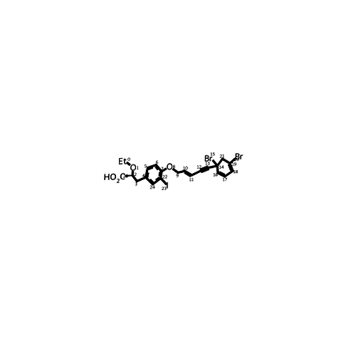 CCO[C@@H](Cc1ccc(OC/C=C/C#CC2(Br)C=CC=C(Br)C2)c(I)c1)C(=O)O